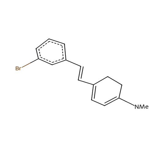 CNC1=CC=C(/C=C/c2cccc(Br)c2)CC1